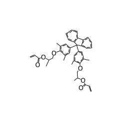 C=CC(=O)OC(C)COc1c(C)cc(C2(c3cc(C)c(OCC(C)OC(=O)C=C)c(C)c3)c3ccccc3-c3ccccc32)cc1C